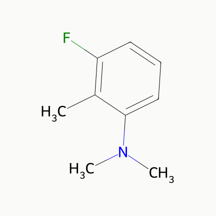 Cc1c(F)cccc1N(C)C